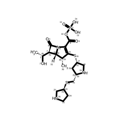 C[C@@H](O)[C@H]1C(=O)N2C(C(=O)OP(=O)(O)O)=C(S[C@@H]3CN[C@H](CS[C@H]4CCNC4)C3)[C@H](C)[C@H]12